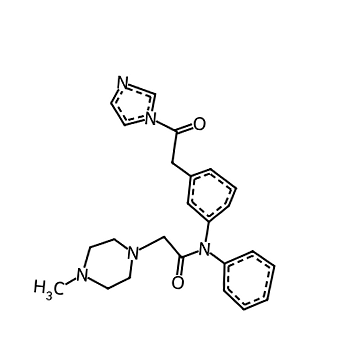 CN1CCN(CC(=O)N(c2ccccc2)c2cccc(CC(=O)n3ccnc3)c2)CC1